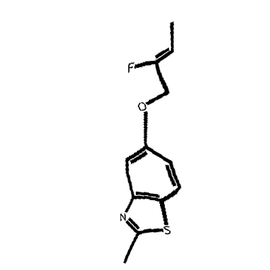 CC=C(F)COc1ccc2sc(C)nc2c1